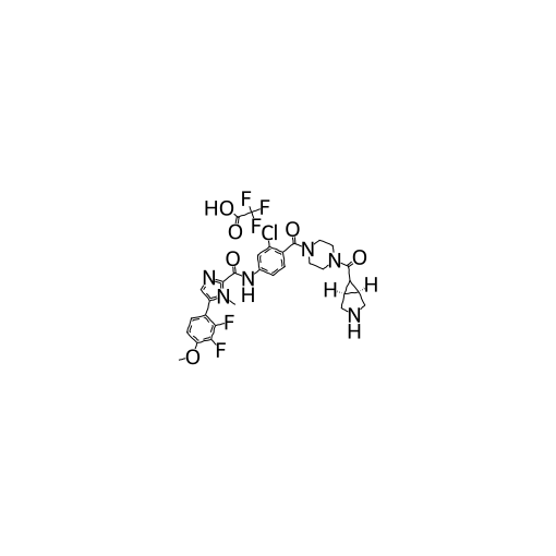 COc1ccc(-c2cnc(C(=O)Nc3ccc(C(=O)N4CCN(C(=O)C5[C@H]6CNC[C@@H]56)CC4)c(Cl)c3)n2C)c(F)c1F.O=C(O)C(F)(F)F